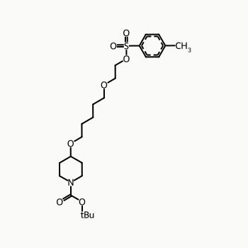 Cc1ccc(S(=O)(=O)OCCOCCCCCOC2CCN(C(=O)OC(C)(C)C)CC2)cc1